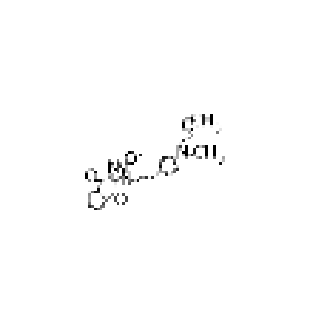 CCN(CCOC)c1ccc(CCCn2c3c(n[n+]2[O-])C(=O)c2ccccc2C3=O)cc1